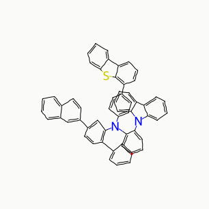 c1ccc(-c2ccc(-c3ccc4ccccc4c3)cc2N(c2ccc(-c3cccc4c3sc3ccccc34)cc2)c2ccccc2-n2c3ccccc3c3ccccc32)cc1